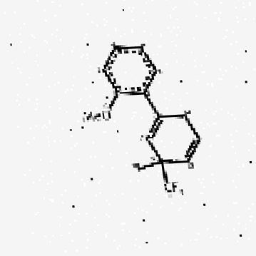 COc1ccccc1C1=CC(C)(C(F)(F)F)C=CC1